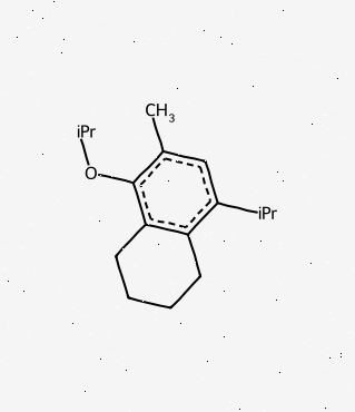 Cc1cc(C(C)C)c2c(c1OC(C)C)CCCC2